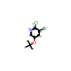 CC(C)(C)Oc1cnc(Cl)c(Br)c1